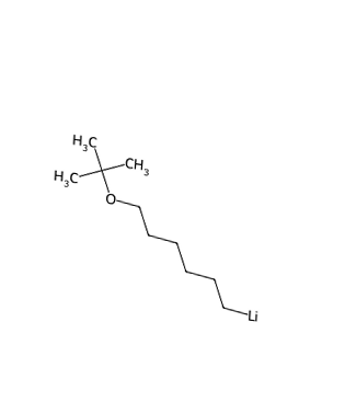 [Li][CH2]CCCCCOC(C)(C)C